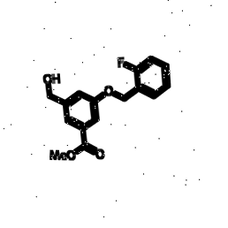 COC(=O)c1cc(CO)cc(OCc2ccccc2F)c1